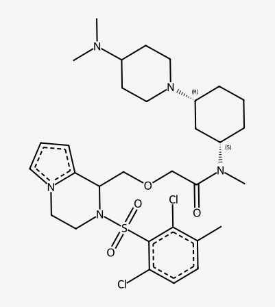 Cc1ccc(Cl)c(S(=O)(=O)N2CCn3cccc3C2COCC(=O)N(C)[C@H]2CCC[C@@H](N3CCC(N(C)C)CC3)C2)c1Cl